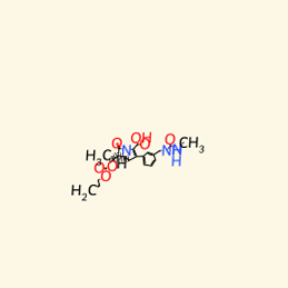 C=CCOC(=O)O[C@H](C)[C@H]1C(=O)N2C(C(=O)O)=C(c3cccc(CNC(=O)NC)c3)C[C@H]12